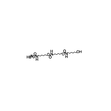 B=NOC(=O)NCCCCCCOC(=O)NCCCCCCOC(=O)NCCCCCCO